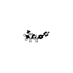 CN1CCN(c2ccc(Nc3nccc(Nc4c(NC(C)(C)C)c(=O)c4=O)n3)cc2)CC1